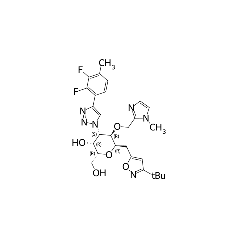 Cc1ccc(-c2cn([C@H]3[C@@H](O)[C@@H](CO)O[C@H](Cc4cc(C(C)(C)C)no4)[C@@H]3OCc3nccn3C)nn2)c(F)c1F